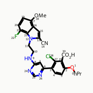 CCCOc1ccc(-c2cc(NCCn3c(C#N)cc4c(OC)ccc(F)c43)ncn2)c(Cl)c1C(=O)O